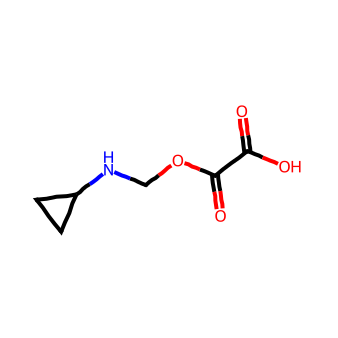 O=C(O)C(=O)OCNC1CC1